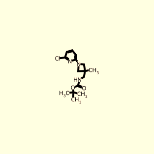 CC1(CNC(=O)OC(C)(C)C)CN(c2cccc(Cl)n2)C1